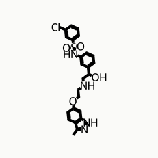 Cc1n[nH]c2cc(OCCNCC(O)c3cccc(NS(=O)(=O)c4cccc(Cl)c4)c3)ccc12